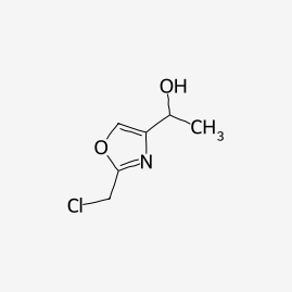 CC(O)c1coc(CCl)n1